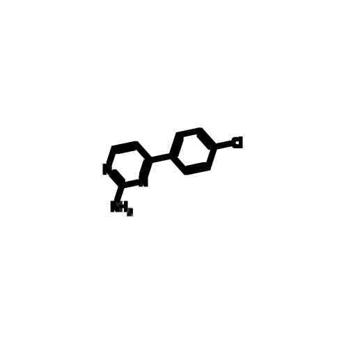 Nc1nccc(-c2ccc(Cl)cc2)n1